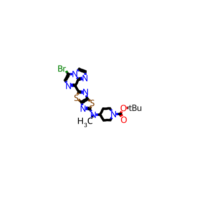 CN(c1nc2sc(-c3ncc(Br)n4ccnc34)nc2s1)C1CCN(C(=O)OC(C)(C)C)CC1